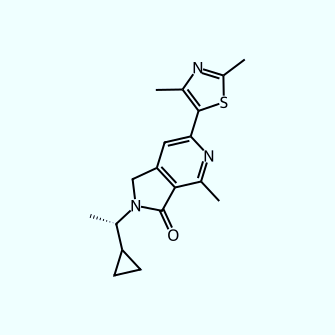 Cc1nc(C)c(-c2cc3c(c(C)n2)C(=O)N([C@@H](C)C2CC2)C3)s1